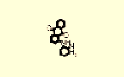 NC1CCCCC1Nc1cccc2c1C(=O)c1ccccc1C2=O